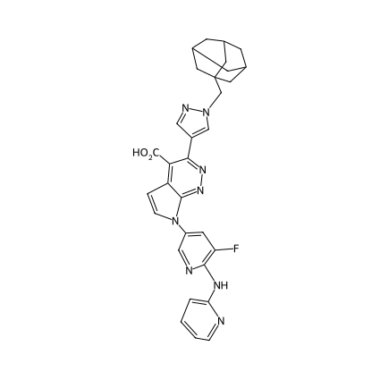 O=C(O)c1c(-c2cnn(CC34CC5CC(CC(C5)C3)C4)c2)nnc2c1ccn2-c1cnc(Nc2ccccn2)c(F)c1